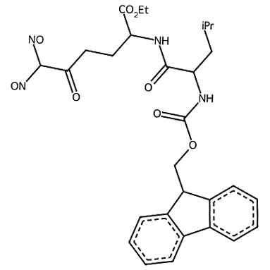 CCOC(=O)C(CCC(=O)C(N=O)N=O)NC(=O)C(CC(C)C)NC(=O)OCC1c2ccccc2-c2ccccc21